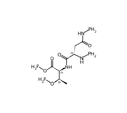 C[C@@H](OP)[C@H](NC(=O)[C@H](CC(=O)NP)NP)C(=O)OP